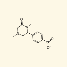 CN1CC(=O)N(C)C(c2ccc([N+](=O)[O-])cc2)C1